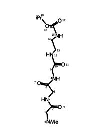 CNCC(=O)NCC(=O)NCC(=O)NCCNC(=O)OC(C)C